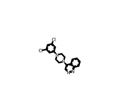 Clc1cc(Cl)cc(N2CCN(c3cnnc4ccccc34)CC2)c1